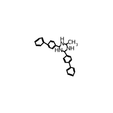 CC1NC(c2ccc(-c3ccccc3)cc2)NC(c2ccc(-c3ccccc3)cc2)N1